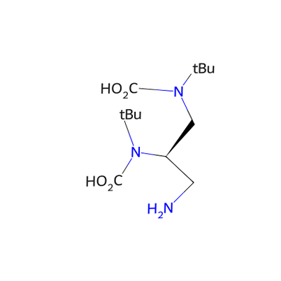 CC(C)(C)N(C[C@@H](CN)N(C(=O)O)C(C)(C)C)C(=O)O